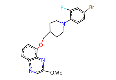 COc1cnc2cccc(OCC3CCN(c4ccc(Br)cc4F)CC3)c2n1